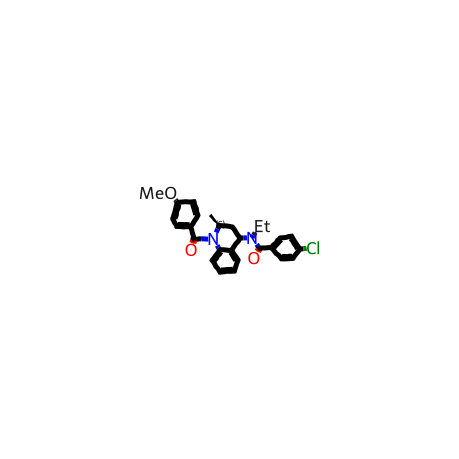 CCN(C(=O)c1ccc(Cl)cc1)C1C[C@H](C)N(C(=O)c2ccc(OC)cc2)c2ccccc21